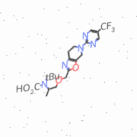 CC(COCc1nc2c(o1)CN(c1ncc(C(F)(F)F)cn1)CC2)N(C(=O)O)C(C)(C)C